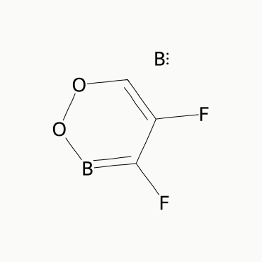 FC1=BOOC=C1F.[B]